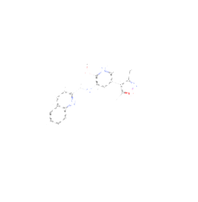 COc1ncc(-c2c(C)noc2C)cc1NCc1ccc2ccccc2n1